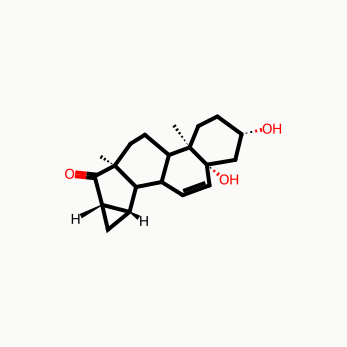 C[C@]12CCC3C(C=C[C@]4(O)C[C@@H](O)CC[C@]34C)C1[C@@H]1C[C@@H]1C2=O